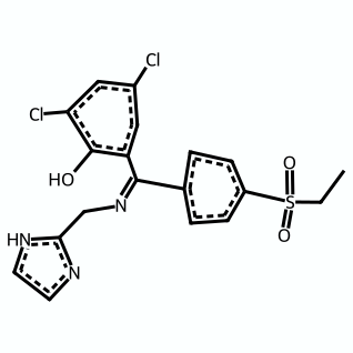 CCS(=O)(=O)c1ccc(C(=NCc2ncc[nH]2)c2cc(Cl)cc(Cl)c2O)cc1